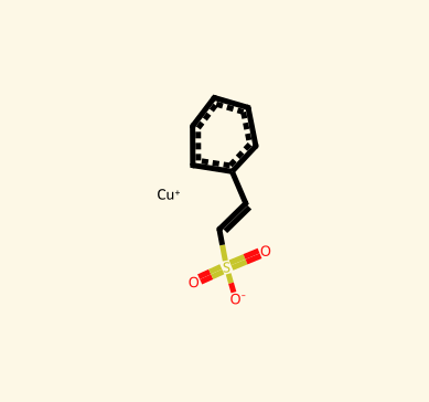 O=S(=O)([O-])C=Cc1ccccc1.[Cu+]